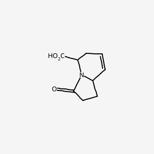 O=C(O)C1CC=CC2CCC(=O)N21